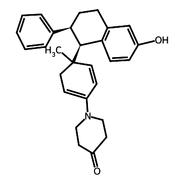 CC1([C@@H]2c3ccc(O)cc3CC[C@@H]2c2ccccc2)C=CC(N2CCC(=O)CC2)=CC1